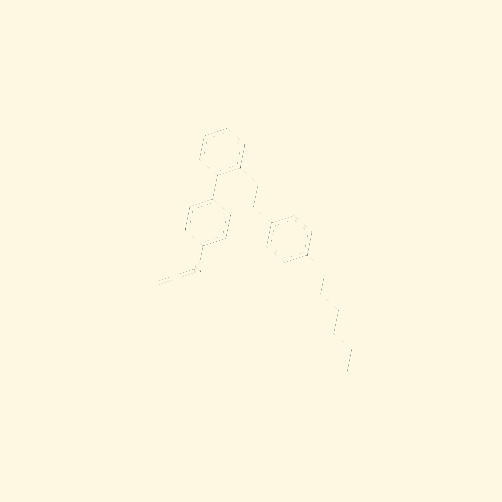 CCCCCOc1ccc(CCc2ccccc2-c2ccc(N=C=S)cc2)cc1